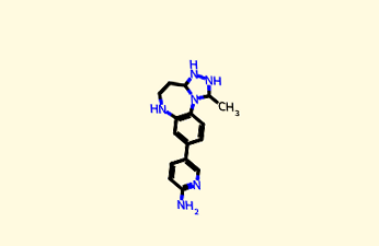 CC1NNC2CCNc3cc(-c4ccc(N)nc4)ccc3N12